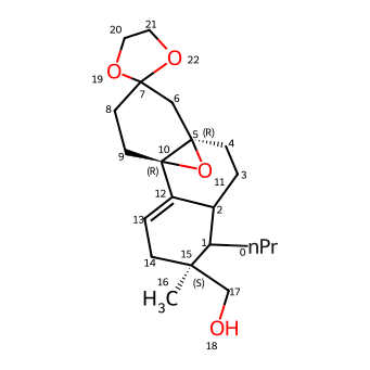 CCCC1C2CC[C@@]34CC5(CC[C@@]3(O4)C2=CC[C@]1(C)CO)OCCO5